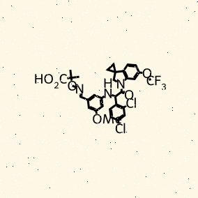 COc1cc(C=NOC(C)(C)C(=O)O)cc(NC(C(=O)N2CC3(CC3)c3ccc(OC(F)(F)F)cc32)c2ccc(Cl)cc2Cl)c1